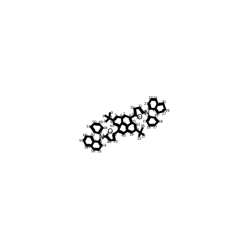 CC(C)(C)c1cc2cc(-c3ccc(N(c4ccccc4)c4cccc5ccccc45)o3)c3cc(C(C)(C)C)cc4cc(-c5ccc(N(c6ccccc6)c6cccc7ccccc67)o5)c(c1)c2c43